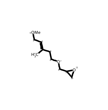 COC/C=C(\C)CCOCC1CO1